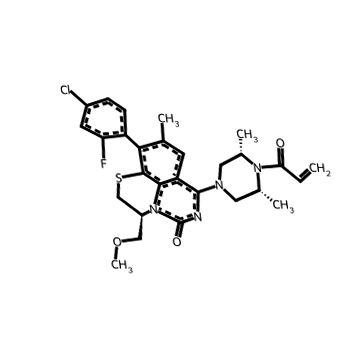 C=CC(=O)N1[C@H](C)CN(c2nc(=O)n3c4c(c(-c5ccc(Cl)cc5F)c(C)cc24)SC[C@@H]3COC)C[C@@H]1C